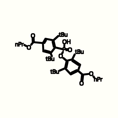 CCCOC(=O)c1cc(C(C)(C)C)c(OP(=O)(O)c2c(C(C)(C)C)cc(C(=O)OCCC)cc2C(C)(C)C)c(C(C)(C)C)c1